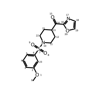 COc1cccc(S(=O)(=O)N2CCC(C(=O)c3ncco3)CC2)c1